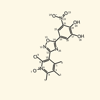 Cc1c(C)c(C)[n+]([O-])c(Cl)c1-c1noc(-c2cc(O)c(O)c([N+](=O)[O-])c2)n1